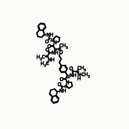 CN[C@@H](C)C(=O)N[C@H](C(=O)N1CCC[C@H]1C(=O)NC1CCCc2ccccc21)c1ccc(CCCO[C@H](C)[C@H](NC(=O)[C@H](C)NC)C(=O)N2CCC[C@H]2C(=O)N[C@@H]2CCCc3ccccc32)cc1